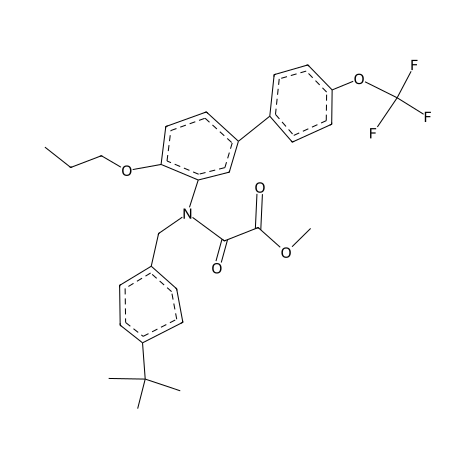 CCCOc1ccc(-c2ccc(OC(F)(F)F)cc2)cc1N(Cc1ccc(C(C)(C)C)cc1)C(=O)C(=O)OC